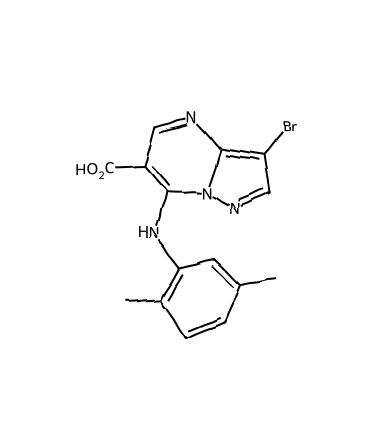 Cc1ccc(C)c(Nc2c(C(=O)O)cnc3c(Br)cnn23)c1